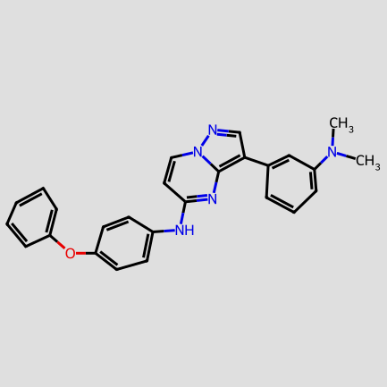 CN(C)c1cccc(-c2cnn3ccc(Nc4ccc(Oc5ccccc5)cc4)nc23)c1